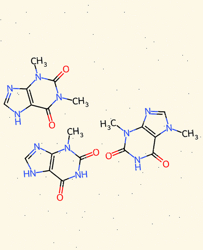 Cn1c(=O)[nH]c(=O)c2[nH]cnc21.Cn1c(=O)c2[nH]cnc2n(C)c1=O.Cn1cnc2c1c(=O)[nH]c(=O)n2C